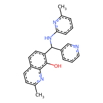 Cc1cccc(NC(c2cccnc2)c2ccc3ccc(C)nc3c2O)n1